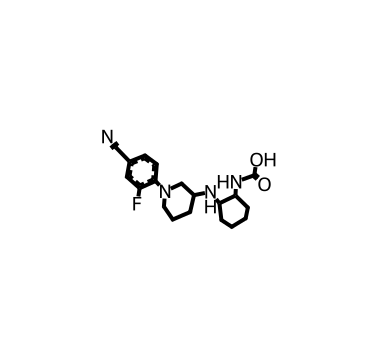 N#Cc1ccc(N2CCCC(NC3CCCCC3NC(=O)O)C2)c(F)c1